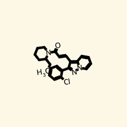 CCC1CCCCN1C(=O)C=Cc1c(-c2ccccc2Cl)nn2ccccc12